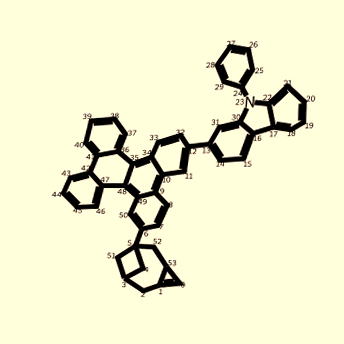 C1=C2CC3CC(c4ccc5c6cc(-c7ccc8c9ccccc9n(-c9ccccc9)c8c7)ccc6c6c7ccccc7c7ccccc7c6c5c4)(C3)CC12